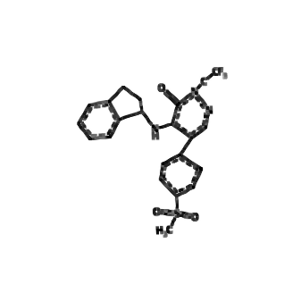 CS(=O)(=O)c1ccc(-c2cnn(CC(F)(F)F)c(=O)c2NC2CCc3ccccc32)cc1